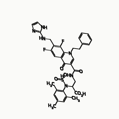 Cc1cc(C)c(N(C(CNC(=O)c2cn(CCc3ccccc3)c3c(F)c(CNc4ncc[nH]4)c(F)cc3c2=O)C(=O)O)[SH](=O)=O)c(C)c1